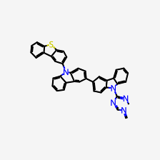 C=N/C=N\C(=N/C)n1c2ccccc2c2cc(-c3ccc4c(c3)c3ccccc3n4-c3ccc4sc5ccccc5c4c3)ccc21